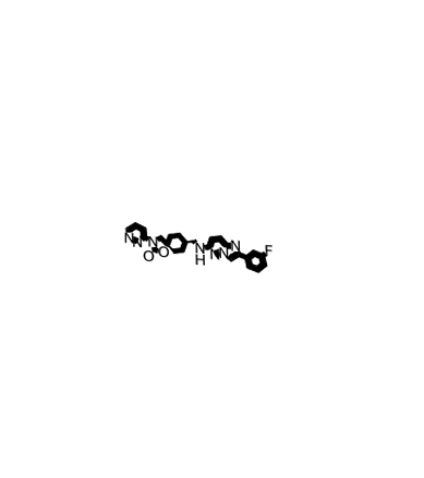 O=C1O[C@]2(CC[C@H](CNc3ccc4nc(-c5cccc(F)c5)cn4n3)CC2)CN1c1cccnn1